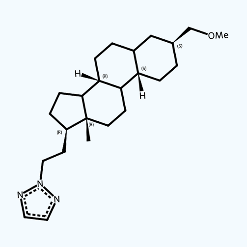 COC[C@H]1CC[C@H]2C(CC[C@@H]3C2CC[C@@]2(C)C3CC[C@@H]2CCn2nccn2)C1